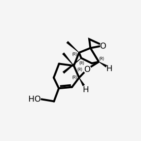 C[C@@H]1C[C@H]2O[C@@H]3C=C(CO)CC[C@]3(C)[C@]1(C)C21CO1